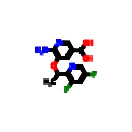 CC(Oc1cc(B(O)O)cnc1N)c1ncc(F)cc1F